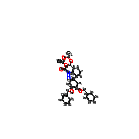 CCC(=O)OCc1cccc(-c2ccc(OCc3ccccc3)c(OCc3ccccc3)c2)c1NC(=O)OC(C)(C)C